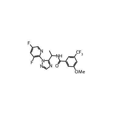 COc1cc(C(=O)NC(C)c2ncnn2-c2ncc(F)cc2F)cc(C(F)(F)F)c1